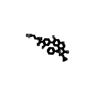 NCCNC(=O)c1ccc(-c2cc3c(Nc4ccccc4)c(C(=O)NC4CC4)cnc3cc2F)cc1F